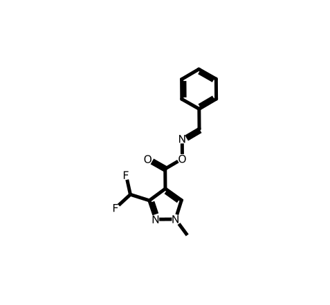 Cn1cc(C(=O)O/N=C/c2ccccc2)c(C(F)F)n1